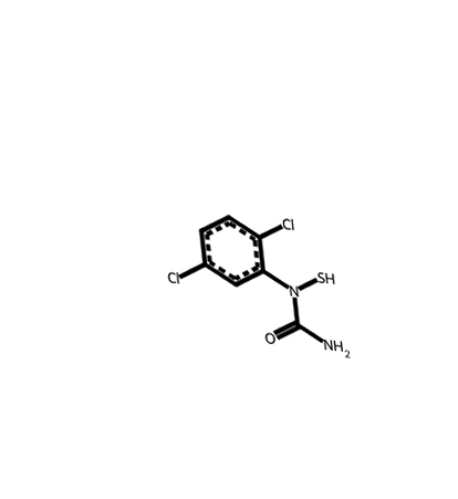 NC(=O)N(S)c1cc(Cl)ccc1Cl